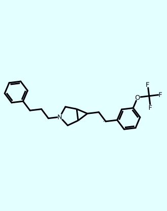 FC(F)(F)Oc1cccc([CH]CC2C3CN(CCCc4ccccc4)CC23)c1